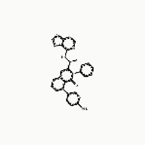 C[C@H](Nc1ncnc2scnc12)c1cc2cccc(-c3ccc(N)nc3)c2c(=O)n1-c1ccccc1